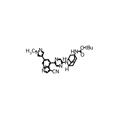 Cn1cc(-c2cc(-c3cnc(N4[C@@H]5CC6C[C@H]4CC(NC(=O)OC(C)(C)C)(C6)C5)cn3)c3c(C#N)cnn3c2)cn1